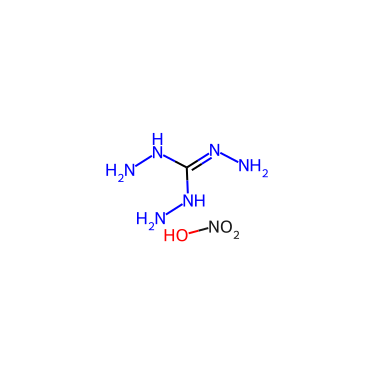 NN=C(NN)NN.O=[N+]([O-])O